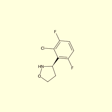 Fc1ccc(F)c([C@H]2CCON2)c1Cl